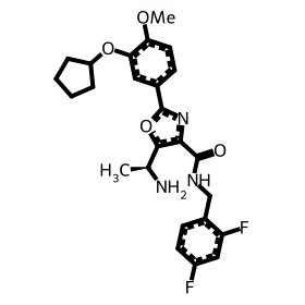 COc1ccc(-c2nc(C(=O)NCc3ccc(F)cc3F)c([C@H](C)N)o2)cc1OC1CCCC1